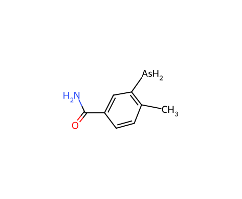 Cc1ccc(C(N)=O)cc1[AsH2]